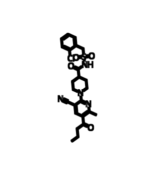 CCCC(=O)c1cc(C#N)c(N2CCC(C(=O)NS(=O)(=O)Cc3ccccc3Cl)CC2)nc1C